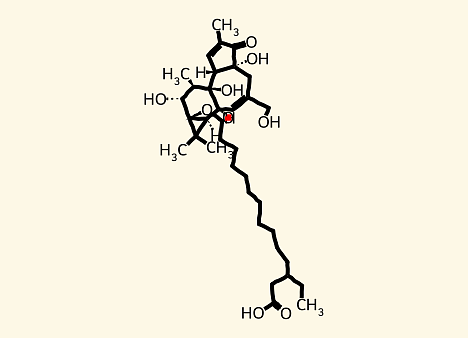 CCC(CCCCCCCCCCC(=O)O[C@@]12[C@H](O)[C@@H](C)[C@@]3(O)[C@@H](C=C(CO)C[C@]4(O)C(=O)C(C)=C[C@@H]34)[C@H]1C2(C)C)CC(=O)O